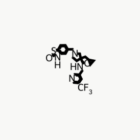 O=C(NCc1cncc(C(F)(F)F)c1)C1(CC2CC2)CCN(Cc2ccc3sc(=O)[nH]c3c2)C1